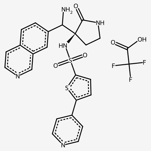 NC(c1ccc2ccncc2c1)[C@@]1(NS(=O)(=O)c2ccc(-c3ccncc3)s2)CCNC1=O.O=C(O)C(F)(F)F